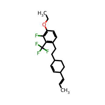 C/C=C/C1C=CC(CCc2ccc(OCC)c(F)c2C(F)(F)F)CC1